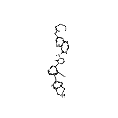 Cc1c(Nc2nccc3cc(CN4CCCC4)cnc23)cccc1-c1cccc(-c2nc3c(s2)CNC3)c1C